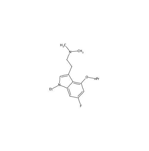 CCCOc1cc(F)cc2c1c(CCN(C)C)cn2CC